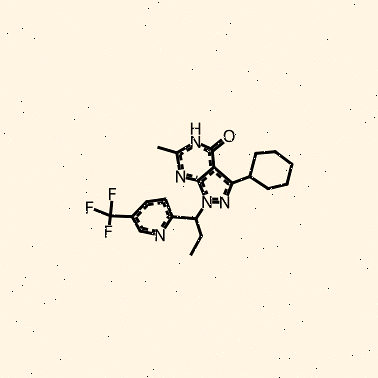 CCC(c1ccc(C(F)(F)F)cn1)n1nc(C2CCCCC2)c2c(=O)[nH]c(C)nc21